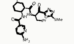 CSc1nnc(C(=O)C(CC(C)C)NC(=O)[C@@H]2CCCC[C@@H]2NC(=O)c2ccc(N)nc2)o1